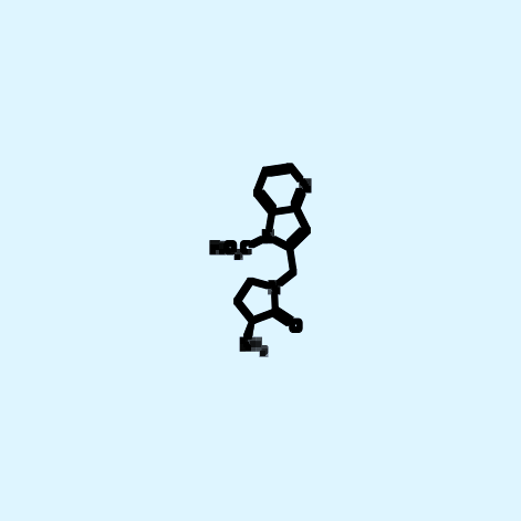 CCOC(=O)n1c(CN2CC[C@H](N)C2=O)cc2ncccc21